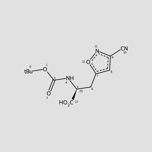 CC(C)(C)OC(=O)N[C@@H](Cc1cc(C#N)no1)C(=O)O